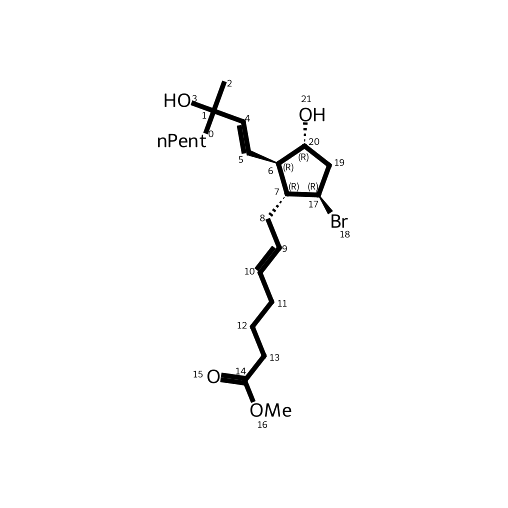 CCCCCC(C)(O)C=C[C@@H]1[C@@H](CC=CCCCC(=O)OC)[C@H](Br)C[C@H]1O